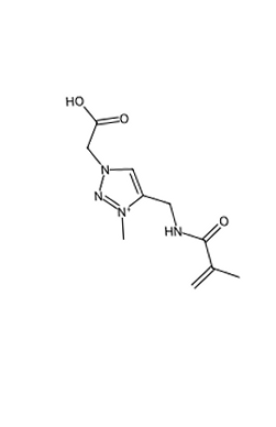 C=C(C)C(=O)NCc1cn(CC(=O)O)n[n+]1C